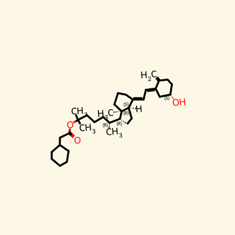 C=C1CC[C@H](O)CC1=CC=C1CCC[C@@]2(C)[C@@H]1CC[C@@H]2[C@H](C)CCCC(C)(C)OC(=O)CC1CCCCC1